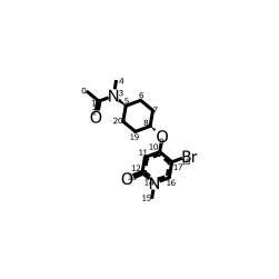 CC(=O)N(C)[C@H]1CC[C@H](Oc2cc(=O)n(C)cc2Br)CC1